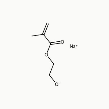 C=C(C)C(=O)OCC[O-].[Na+]